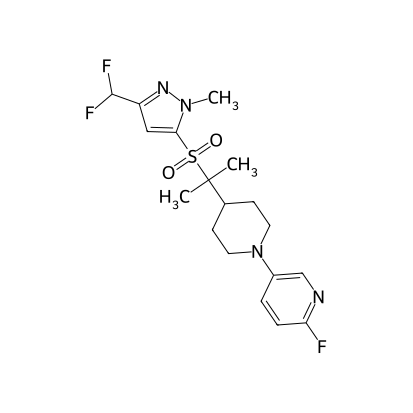 Cn1nc(C(F)F)cc1S(=O)(=O)C(C)(C)C1CCN(c2ccc(F)nc2)CC1